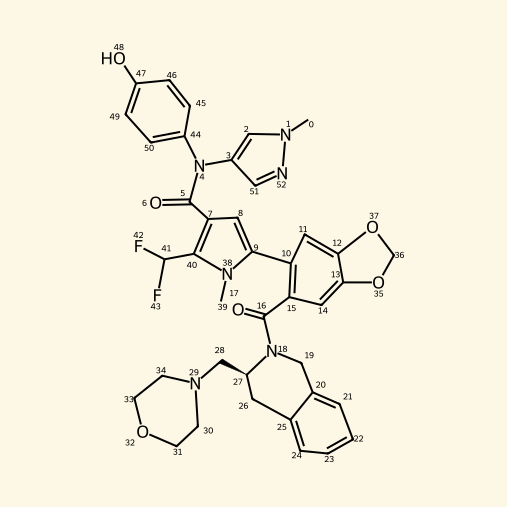 Cn1cc(N(C(=O)c2cc(-c3cc4c(cc3C(=O)N3Cc5ccccc5C[C@H]3CN3CCOCC3)OCO4)n(C)c2C(F)F)c2ccc(O)cc2)cn1